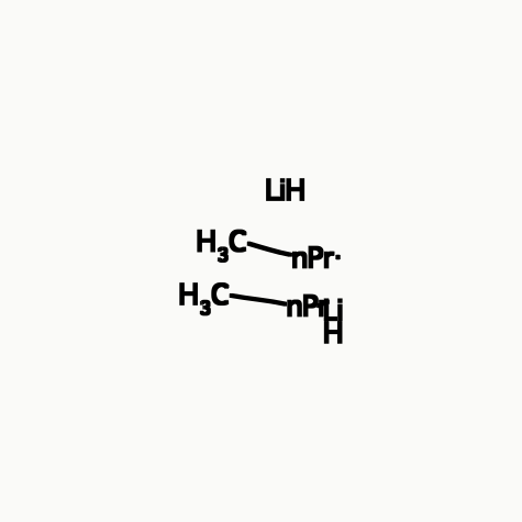 C[CH]CC.C[CH]CC.[LiH].[LiH]